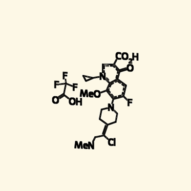 CNCC(Cl)=C1CCN(c2c(F)cc3c(=O)c(C(=O)O)cn(C4CC4)c3c2OC)CC1.O=C(O)C(F)(F)F